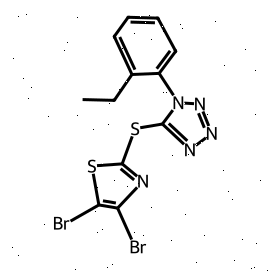 CCc1ccccc1-n1nnnc1Sc1nc(Br)c(Br)s1